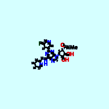 CNC(=O)[C@H]1C[C@@H](n2cnc3c(NCc4ccccn4)nc(-c4cncc(F)c4)nc32)[C@H](O)[C@@H]1O